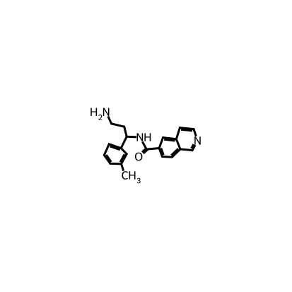 Cc1cccc(C(CCN)NC(=O)c2ccc3cnccc3c2)c1